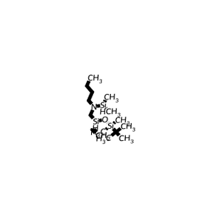 C=C[SiH](CN(CCCC)[SiH](C)C)O[Si](C)(C)C(C)(C)C